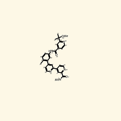 CNC(=O)c1cc(-c2cc(-c3cc(NC(=O)c4ccnc(C(C)(C)OC)c4)ccc3C)ccn2)ccn1